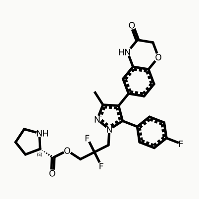 Cc1nn(CC(F)(F)COC(=O)[C@@H]2CCCN2)c(-c2ccc(F)cc2)c1-c1ccc2c(c1)NC(=O)CO2